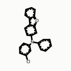 Clc1cccc(N(c2ccccc2)c2ccc3c(c2)oc2ccccc23)c1